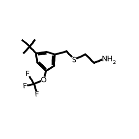 CC(C)(C)c1cc(CSCCN)cc(OC(F)(F)F)c1